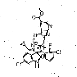 COC(=O)c1cnc2nn3c(c2c1)OC[C@H]1[C@@H](C3)[C@H](c2cccc(Cl)c2F)[C@]2(C(=O)Nc3cc(Cl)ccc32)N1CC1CC1